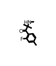 CNC(C)(C)C(=O)c1ccc(C)cc1F